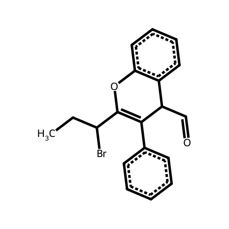 CCC(Br)C1=C(c2ccccc2)C(C=O)c2ccccc2O1